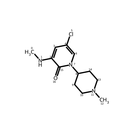 CNc1cc(Cl)cn(C2CCN(C)CC2)c1=O